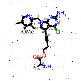 COc1c(C)cnc(Cn2cc(C#CCCOC(=O)C(N)C(C)C)c3c(Cl)nc(N)nc32)c1C